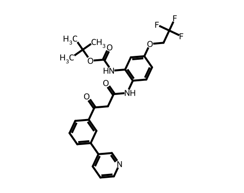 CC(C)(C)OC(=O)Nc1cc(OCC(F)(F)F)ccc1NC(=O)CC(=O)c1cccc(-c2cccnc2)c1